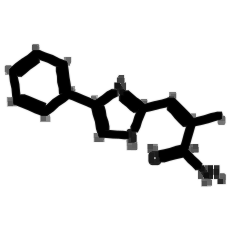 CC(=Cc1nc(-c2ccccc2)cs1)C(N)=O